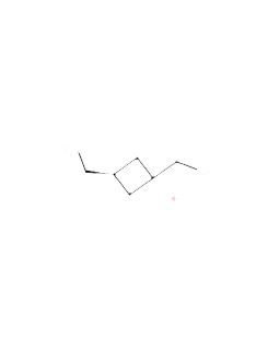 CC[C@H]1C[C@@](O)(CC)C1